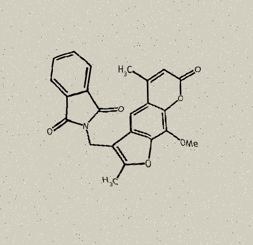 COc1c2oc(=O)cc(C)c2cc2c(CN3C(=O)c4ccccc4C3=O)c(C)oc12